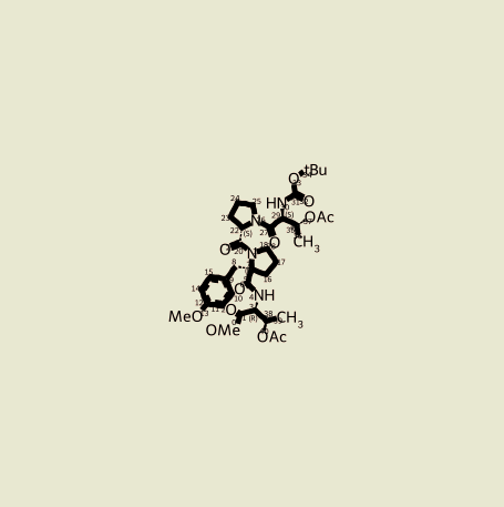 COC(=O)[C@H](NC(=O)[C@]1(Cc2ccc(OC)cc2)CCCN1C(=O)[C@@H]1CCCN1C(=O)[C@@H](NC(=O)OC(C)(C)C)[C@@H](C)OC(C)=O)[C@@H](C)OC(C)=O